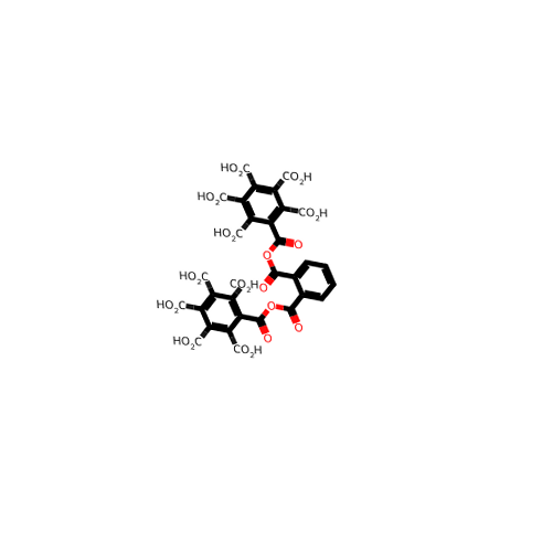 O=C(OC(=O)c1c(C(=O)O)c(C(=O)O)c(C(=O)O)c(C(=O)O)c1C(=O)O)c1ccccc1C(=O)OC(=O)c1c(C(=O)O)c(C(=O)O)c(C(=O)O)c(C(=O)O)c1C(=O)O